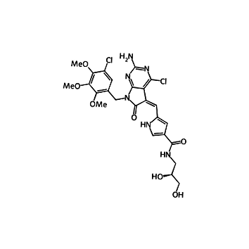 COc1c(Cl)cc(CN2C(=O)/C(=C\c3cc(C(=O)NC[C@H](O)CO)c[nH]3)c3c(Cl)nc(N)nc32)c(OC)c1OC